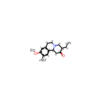 CCOc1cc2c(cc1N=O)C1CC(=O)C(CC(C)C)CN1CC2